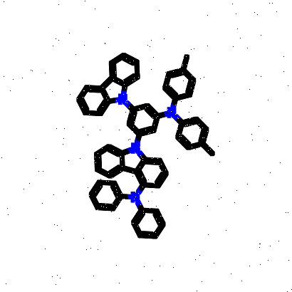 Cc1ccc(N(c2ccc(C)cc2)c2cc(-n3c4ccccc4c4ccccc43)cc(-n3c4ccccc4c4c(N(c5ccccc5)c5ccccc5)cccc43)c2)cc1